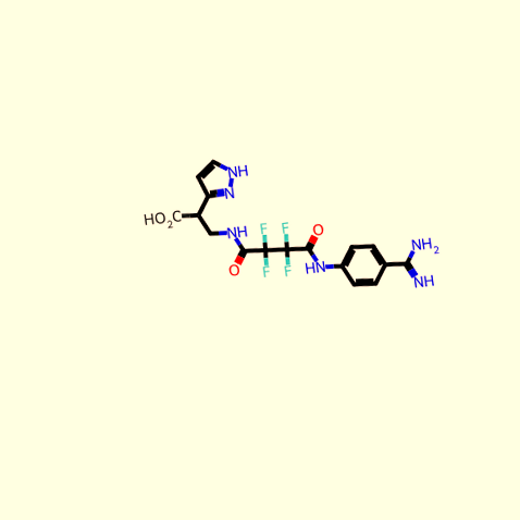 N=C(N)c1ccc(NC(=O)C(F)(F)C(F)(F)C(=O)NCC(C(=O)O)c2cc[nH]n2)cc1